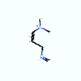 C=NC/C=C\N(C)C